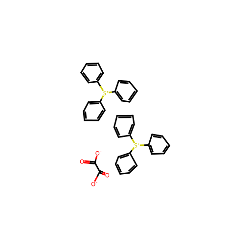 O=C([O-])C(=O)[O-].c1ccc([S+](c2ccccc2)c2ccccc2)cc1.c1ccc([S+](c2ccccc2)c2ccccc2)cc1